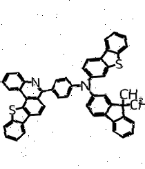 CC1(C)c2ccccc2-c2ccc(N(c3ccc(-c4nc5ccccc5c5c4ccc4c6ccccc6sc45)cc3)c3ccc4c(c3)sc3ccccc34)cc21